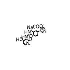 Cn1ccc(O)c(NC(=O)N[C@@H](CC(=O)[O-])c2cccc(-c3cnccn3)c2)c1=O.[Na+]